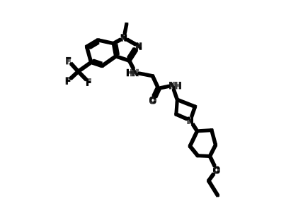 CCOC1CCC(N2CC(NC(=O)CNc3nn(C)c4ccc(C(F)(F)F)cc34)C2)CC1